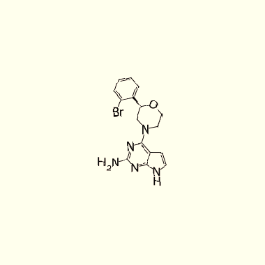 Nc1nc(N2CCO[C@H](c3ccccc3Br)C2)c2cc[nH]c2n1